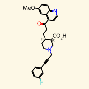 COc1ccc2nccc(C(=O)CC[C@@H]3CCN(CC#Cc4cccc(F)c4)C[C@@H]3C(=O)O)c2c1